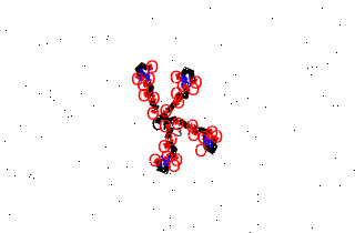 CC(OCCOC(=O)CC(=O)ON1C(=O)CCC1=O)C(OCCOC(=O)CC(=O)ON1C(=O)CCC1=O)C(COCCOC(=O)CC(=O)ON1C(=O)CCC1=O)OCCOC(=O)CC(=O)ON1C(=O)CCC1=O